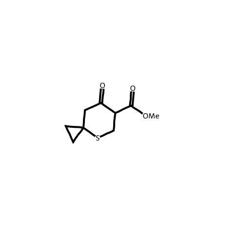 COC(=O)C1CSC2(CC2)CC1=O